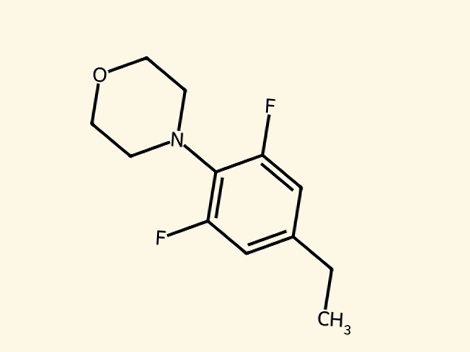 CCc1cc(F)c(N2CCOCC2)c(F)c1